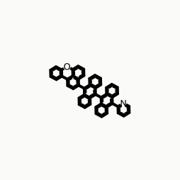 c1ccc(-c2c3ccccc3c(-c3c4ccccc4c(-c4ccc5c6c(cccc46)Oc4ccccc4-5)c4ccccc34)c3ccccc23)nc1